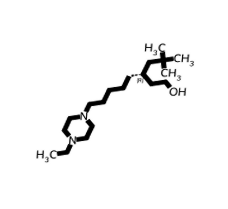 CCN1CCN(CCCCC[C@@H](CCO)CC(C)(C)C)CC1